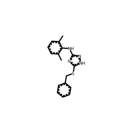 Cc1cccc(C)c1Nc1n[nH]c(SCc2ccccc2)n1